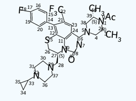 CC(=O)N1[C@H](C)CN(c2nc(=O)n3c4c(c(-c5ccc(F)cc5)c(C(F)(F)F)cc24)SC[C@@H]3CN2CCN(C3CC3)CC2)C[C@@H]1C